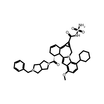 COc1ccc(C2CCCCC2)c2c1cc1n2CC2=C(C(=O)NS(N)(=O)=O)C2=C2C=CC[C@@H](C(=O)N3CC4CN(Cc5ccccc5)CC4C3)C21